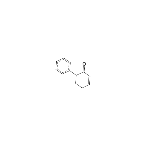 O=C1C=CCCC1c1ccccc1